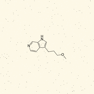 COCCCc1c[nH]c2cnccc12